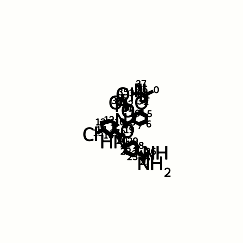 CC(COc1cccc(CNc2ccc(Cl)cc2C(=O)Nc2ccc(C(=N)N)cc2)c1OCC(=O)O)N(C)C